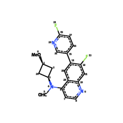 CO[C@H]1C[C@@H](N(C=O)c2ccnc3cc(F)c(-c4ccc(F)nc4)cc23)C1